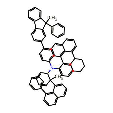 CC1(c2ccccc2)c2ccccc2-c2ccc(-c3ccc(N(c4ccccc4-c4cccc5cccc(C6CCCCC6)c45)C4C=CC=CC4(C)c4cccc5cccc(-c6ccccc6)c45)cc3)cc21